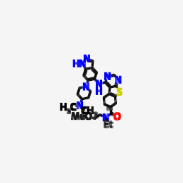 CCN(CCOC)C(=O)[C@H]1CCc2c(sc3ncnc(Nc4cc5cn[nH]c5cc4N4CCC(N(C)C)CC4)c23)C1